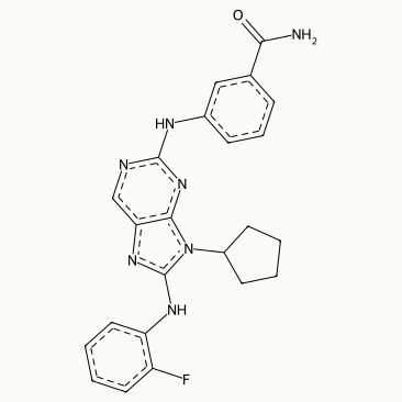 NC(=O)c1cccc(Nc2ncc3nc(Nc4ccccc4F)n(C4CCCC4)c3n2)c1